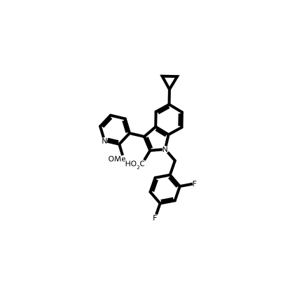 COc1ncccc1-c1c(C(=O)O)n(Cc2ccc(F)cc2F)c2ccc(C3CC3)cc12